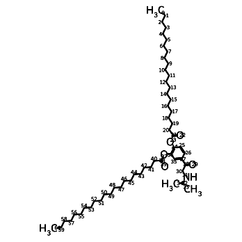 CCCCCCCCCCCCCCCCCCCCCC(=O)Oc1ccc(C(=O)CNC(C)C)cc1OC(=O)CCCCCCCCCCCCCCCCCCCCC